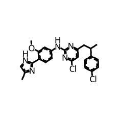 COc1cc(Nc2nc(Cl)cc(CC(C)c3ccc(Cl)cc3)n2)ccc1-c1nc(C)c[nH]1